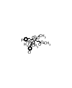 CCOC(=O)CC[C@@H](NC(=O)[C@H](Cc1ccc(F)cc1)NC(=O)C(C)(C)c1ccc(Cl)cc1)C(=O)OCC